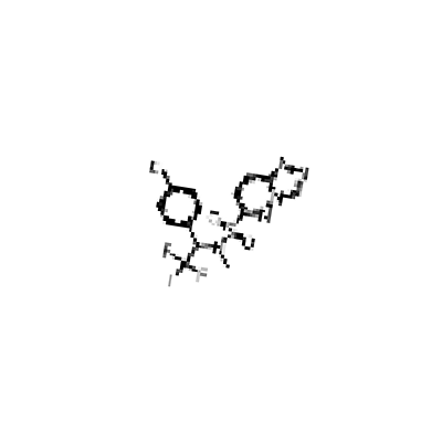 CN(C(c1ccc(Cl)cc1)C(F)(F)F)S(=O)(=O)c1ccc2nncn2n1